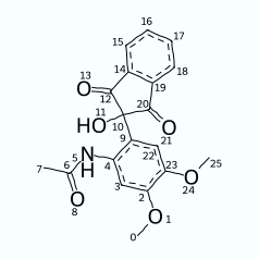 COc1cc(NC(C)=O)c(C2(O)C(=O)c3ccccc3C2=O)cc1OC